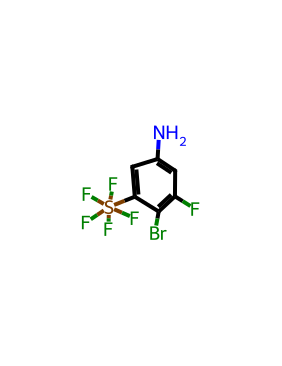 Nc1cc(F)c(Br)c(S(F)(F)(F)(F)F)c1